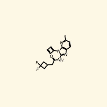 Cc1ccc2nc(NC(=O)CC3CC(F)(F)C3)n(C3=CC=C3)c2n1